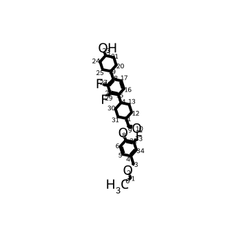 CCOCc1ccc(OC(=O)C2CCC(c3ccc(C4CCC(O)CC4)c(F)c3F)CC2)c(F)c1